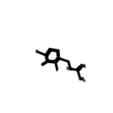 Cc1c(F)ccc(CNC(=N)N)c1F